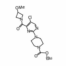 COC1CN(C(=O)c2nc(N3CCN(C(=O)OC(C)(C)C)CC3)ncc2Cl)C1